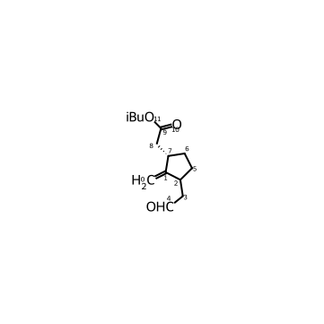 C=C1C(CC=O)CC[C@H]1CC(=O)OCC(C)C